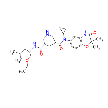 CCOCC(CC(C)C)NC(=O)[C@@H]1CNC[C@H](C(=O)N(c2ccc3c(c2)NC(=O)C(C)(C)O3)C2CC2)C1